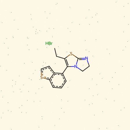 Br.CCC1=C(c2cccc3sccc23)N2CCN=C2S1